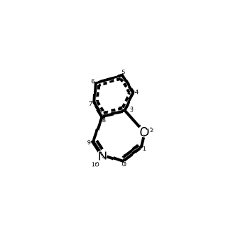 C1=COc2ccccc2C=N1